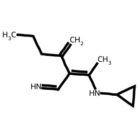 C=C(CCC)/C(C=N)=C(\C)NC1CC1